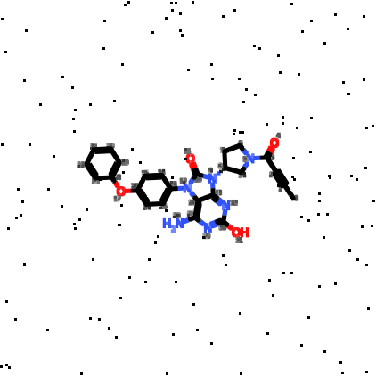 CC#CC(=O)N1CC[C@@H](n2c(=O)n(-c3ccc(Oc4ccccc4)cc3)c3c(N)nc(O)nc32)C1